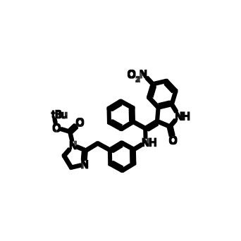 CC(C)(C)OC(=O)N1CCN=C1Cc1cccc(N/C(=C2\C(=O)Nc3ccc([N+](=O)[O-])cc32)c2ccccc2)c1